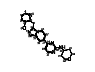 Clc1cccnc1Cc1nnc2cc(-c3ccnc(NC4CCOCC4)n3)ccn12